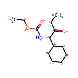 CCOC(=O)N[C@H](C(=O)CC)C1CCCCC1